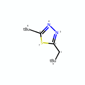 CC(C)(C)Cc1nnc(C(C)(C)C)s1